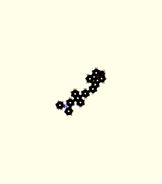 c1ccc(-n2c3ccccc3c3cc(-c4c5ccccc5c(-c5ccc(-c6ccc7cc8c(cc7c6)C6(c7ccccc7-c7ccccc76)c6c-8ccc7ccccc67)cc5)c5ccccc45)ccc32)cc1